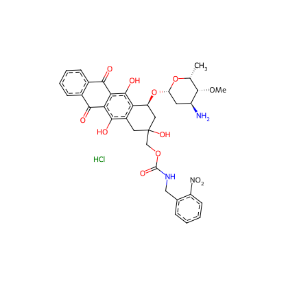 CO[C@@H]1[C@@H](N)C[C@H](O[C@H]2CC(O)(COC(=O)NCc3ccccc3[N+](=O)[O-])Cc3c(O)c4c(c(O)c32)C(=O)c2ccccc2C4=O)O[C@@H]1C.Cl